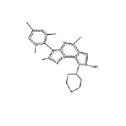 CCCc1cc2c(C)nc3c(-c4c(C)cc(C)cc4C)c(C)nn3c2n1C1CCCCC1